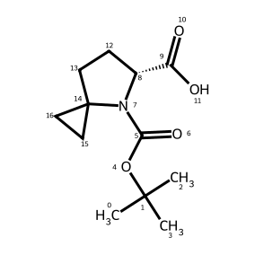 CC(C)(C)OC(=O)N1[C@@H](C(=O)O)CCC12CC2